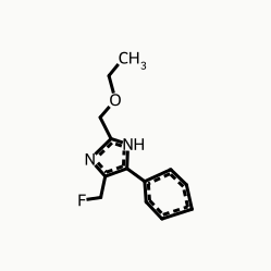 CCOCc1nc(CF)c(-c2ccccc2)[nH]1